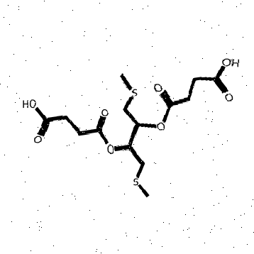 CSCC(OC(=O)CCC(=O)O)C(CSC)OC(=O)CCC(=O)O